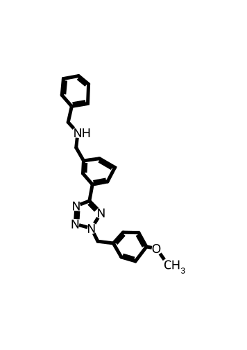 COc1ccc(Cn2nnc(-c3cccc(CNCc4ccccc4)c3)n2)cc1